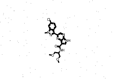 COCC(COC)NC(=O)c1c[nH]c2ncc(-c3nn(C)c4cc(Cl)ccc34)nc12